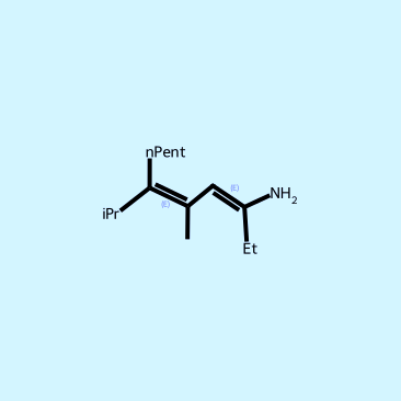 CCCCC/C(=C(C)\C=C(\N)CC)C(C)C